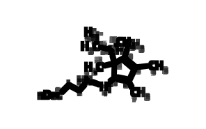 CCCCCCCCCCCC[NH][Hf][C]1=C(C)C(C)=C(C)C1(C)[SiH](C)C.[H-].[H-]